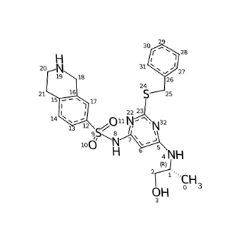 C[C@H](CO)Nc1cc(NS(=O)(=O)c2ccc3c(c2)CNCC3)nc(SCc2ccccc2)n1